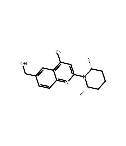 C[C@@H]1CCC[C@H](C)N1c1cc(C#N)c2cc(CO)ccc2n1